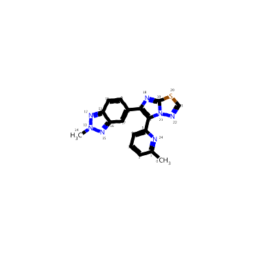 Cc1cccc(-c2c(-c3ccc4nn(C)nc4c3)nc3scnn23)n1